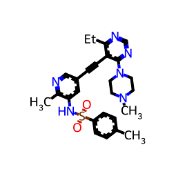 CCc1ncnc(N2CCN(C)CC2)c1C#Cc1cnc(C)c(NS(=O)(=O)c2ccc(C)cc2)c1